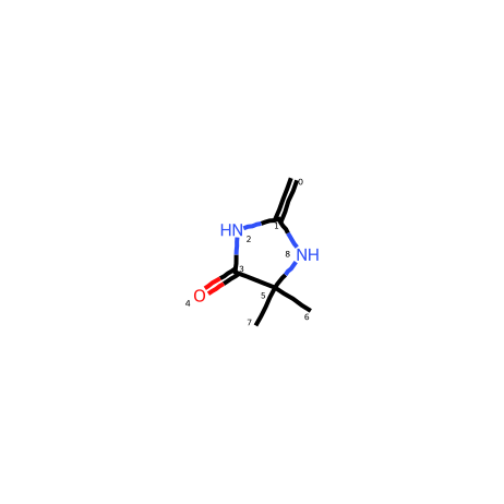 C=C1NC(=O)C(C)(C)N1